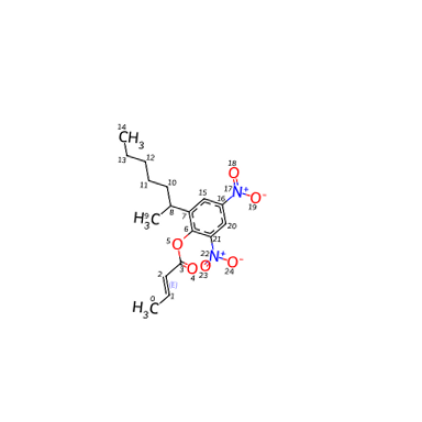 C/C=C/C(=O)Oc1c(C(C)CCCCC)cc([N+](=O)[O-])cc1[N+](=O)[O-]